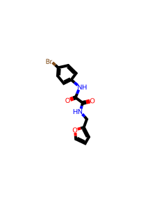 O=C(NCc1ccco1)C(=O)Nc1ccc(Br)cc1